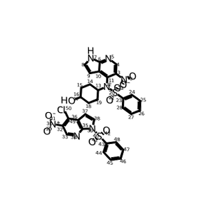 O=[N+]([O-])c1cnc2[nH]ccc2c1N(C1CCC(O)CC1)S(=O)(=O)c1ccccc1.O=[N+]([O-])c1cnc2c(ccn2S(=O)(=O)c2ccccc2)c1Cl